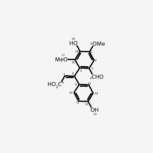 COc1cc(C=O)c(/C(=C/C(=O)O)c2ccc(O)cc2)c(OC)c1O